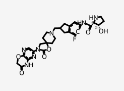 O=C1COc2ncc(N3CC4(CCN(CC5Cc6cc(NC(=O)[C@@H]7NCC[C@@H]7O)cc(F)c6C5)CC4)OC3=O)nc2N1